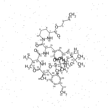 C=CCCOC(=O)C1CCCN(C(=O)C(Cc2cccc(O[Si](C)(C)C(C)(C)C)c2)NC(=O)C(NC(=O)[C@H](C)[C@H](O[Si](C)(C)C(C)(C)C)c2ccc(C=C)cc2)C(C)C)N1